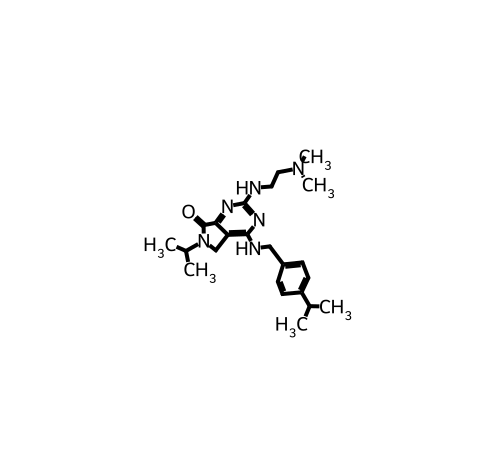 CC(C)c1ccc(CNc2nc(NCCN(C)C)nc3c2CN(C(C)C)C3=O)cc1